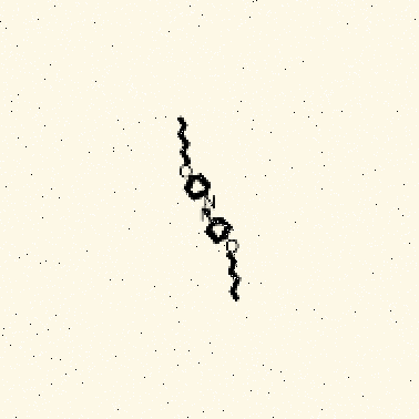 CCCCCCOc1ccc(N=Nc2ccc(OCCCCCC)cc2)cc1